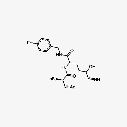 CCCC[C@H](NC(C)=O)C(=O)N[C@@H](CCC(O)C=N)C(=O)NCc1ccc(Cl)cc1